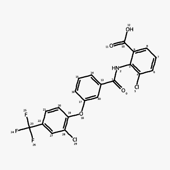 O=C(Nc1c(Cl)cccc1C(=O)O)c1cccc(Oc2ccc(C(F)(F)F)cc2Cl)c1